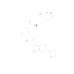 CN1N=CCC1c1ccn2c(C(=O)Nc3cc(C(=O)N[C@H](CO)Cc4ccccc4)ccc3F)cnc2c1